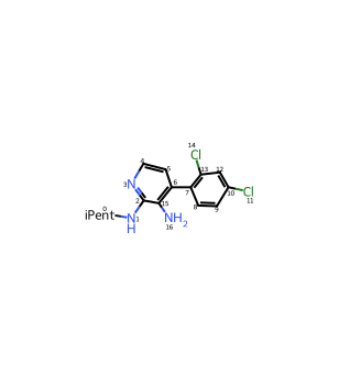 CCCC(C)Nc1nccc(-c2ccc(Cl)cc2Cl)c1N